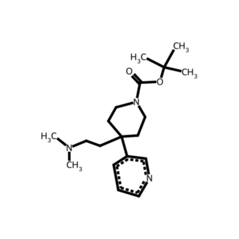 CN(C)CCC1(c2cccnc2)CCN(C(=O)OC(C)(C)C)CC1